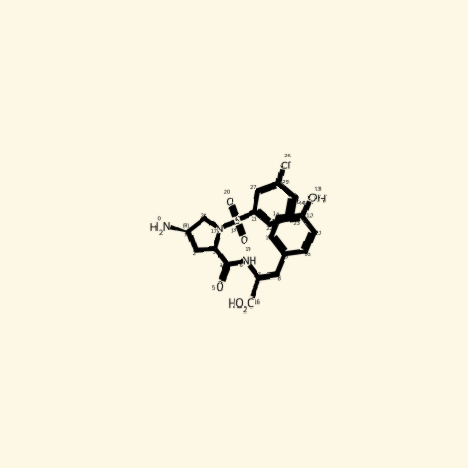 N[C@@H]1CC(C(=O)NC(Cc2ccc(O)cc2)C(=O)O)N(S(=O)(=O)c2cccc(Cl)c2)C1